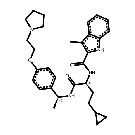 Cc1c(C(=O)N[C@@H](CCC2CC2)C(=O)N[C@@H](C)c2ccc(OCCN3CCCC3)cc2)[nH]c2ccccc12